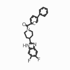 O=C(c1ccc(-c2ccccc2)cc1)N1CCC(c2nc3cc(F)c(F)cc3[nH]2)CC1